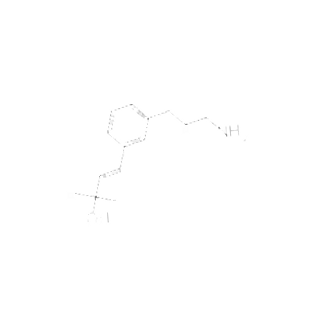 CC(C)(O)C=Cc1cccc(CCCN)c1